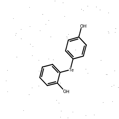 Oc1ccc([Te]c2ccccc2O)cc1